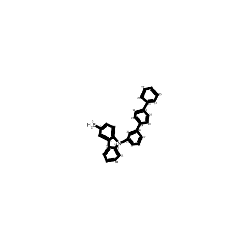 Bc1ccc2c(c1)c1ccccc1n2-c1cccc(-c2ccc(-c3ccccc3)cc2)c1